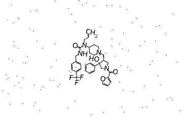 C=CCN(C(=O)NCc1ccc(C(F)(F)F)cc1)C1CCN(C[C@H]2CN(C(=O)c3ccco3)C[C@]2(O)c2ccccc2)CC1